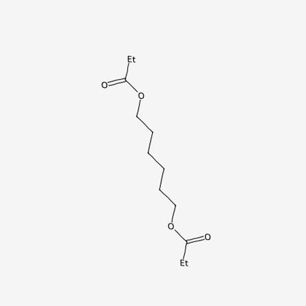 CCC(=O)OCCCCCCOC(=O)CC